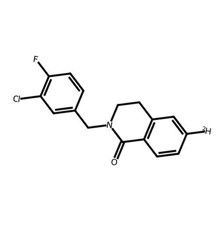 [2H]c1ccc2c(c1)CCN(Cc1ccc(F)c(Cl)c1)C2=O